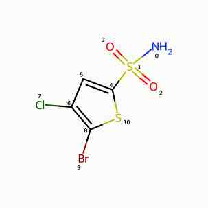 NS(=O)(=O)c1cc(Cl)c(Br)s1